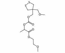 COCCOC(=O)C(C)OC(=O)OCC1(COC)CSSC1